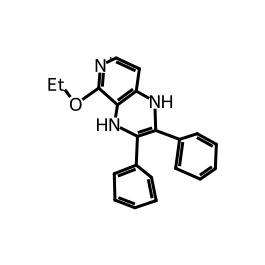 CCOc1n[c]cc2c1NC(c1ccccc1)=C(c1ccccc1)N2